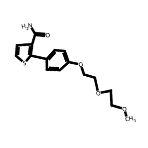 COCCOCCOc1ccc(-c2sccc2C(N)=O)cc1